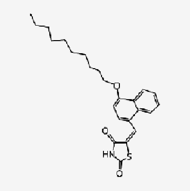 CCCCCCCCCCOc1ccc(/C=C2/SC(=O)NC2=O)c2ccccc12